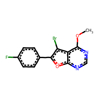 COc1ncnc2oc(-c3ccc(F)cc3)c(Br)c12